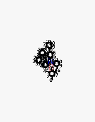 Cc1cc(C)c(B2c3ccccc3N3c4ccc(-c5ccccc5)cc4[Si](c4ccccc4)(c4ccccc4)c4cccc2c43)c(C)c1